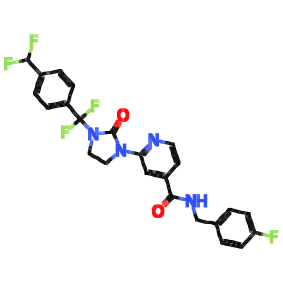 O=C(NCc1ccc(F)cc1)c1ccnc(N2CCN(C(F)(F)c3ccc(C(F)F)cc3)C2=O)c1